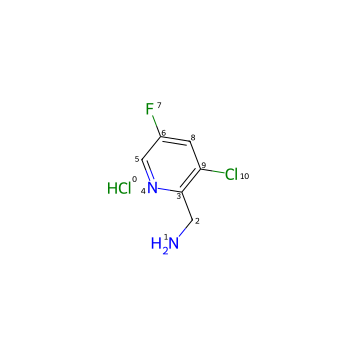 Cl.NCc1ncc(F)cc1Cl